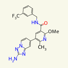 COc1nc(C)c(-c2ccn3nc(N)nc3c2)cc1C(=O)NCc1cccc(C(F)(F)F)c1